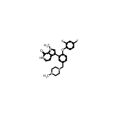 CN1CCN(Cc2ccc(Oc3ccc(F)cc3F)c(-c3cn(C)c4c(=O)[nH]ccc34)c2)CC1